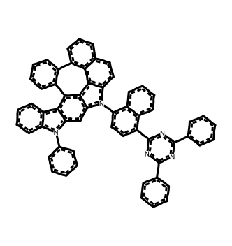 c1ccc(-c2nc(-c3ccccc3)nc(-c3ccc(-n4c5cc6c(c7c5c5c8c(cccc8ccc54)-c4ccccc4-7)c4ccccc4n6-c4ccccc4)c4ccccc34)n2)cc1